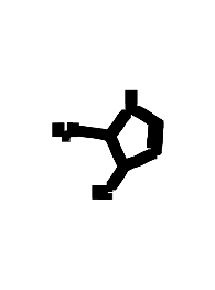 N#CC1P=CNC1N